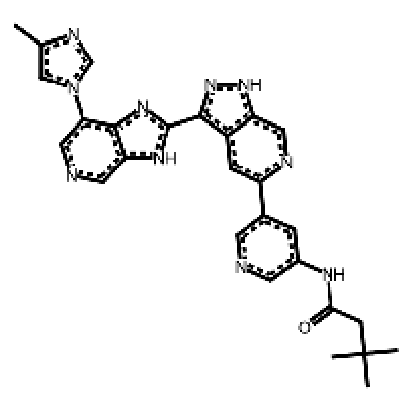 Cc1cn(-c2cncc3[nH]c(-c4n[nH]c5cnc(-c6cncc(NC(=O)CC(C)(C)C)c6)cc45)nc23)cn1